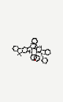 CC1(C)c2ccccc2-c2cc3c4ccccc4n(-c4ccccc4-c4nc(-c5ccccc5)nc5c4[Si](c4ccccc4)(c4ccccc4)c4ccccc4-5)c3cc21